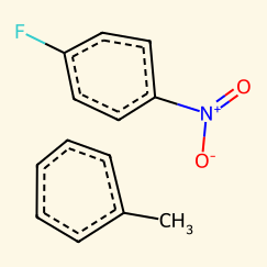 Cc1ccccc1.O=[N+]([O-])c1ccc(F)cc1